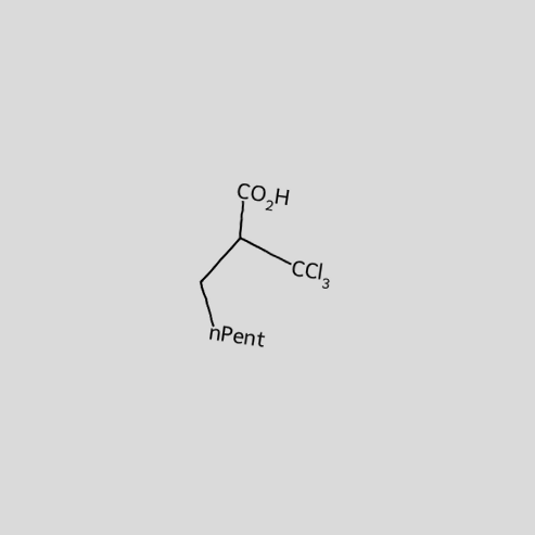 CCCCCCC(C(=O)O)C(Cl)(Cl)Cl